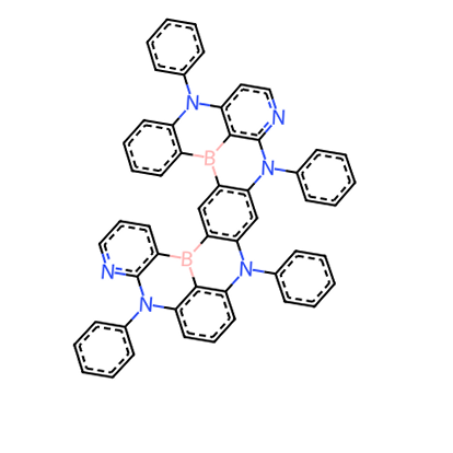 c1ccc(N2c3cc4c(cc3B3c5cccnc5N(c5ccccc5)c5cccc2c53)B2c3ccccc3N(c3ccccc3)c3ccnc(c32)N4c2ccccc2)cc1